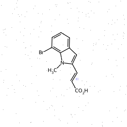 Cn1c(/C=C/C(=O)O)cc2cccc(Br)c21